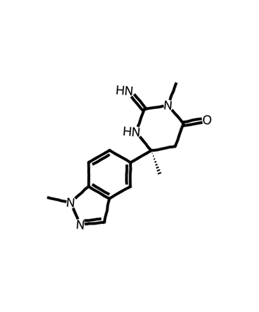 CN1C(=N)N[C@](C)(c2ccc3c(cnn3C)c2)CC1=O